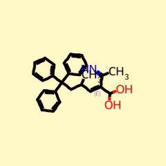 CC(=N)/C(=C\C(C)CC(c1ccccc1)(c1ccccc1)c1ccccc1)C(O)O